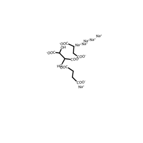 O=C([O-])C(O)C(O)C(=O)[O-].O=C([O-])CCC(=O)[O-].O=C([O-])CCC(=O)[O-].[Na+].[Na+].[Na+].[Na+].[Na+].[Na+]